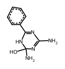 NC1=NC(N)(O)NC(c2ccccc2)=N1